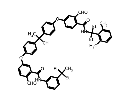 CCC(C)(CC)c1cccc(NC(=O)c2cc(Oc3ccc(C(C)(C)c4ccc(Oc5ccc(C(=O)NC(CC)(CC)c6c(C)cccc6C)c(C=O)c5)cc4)cc3)ccc2C=O)c1